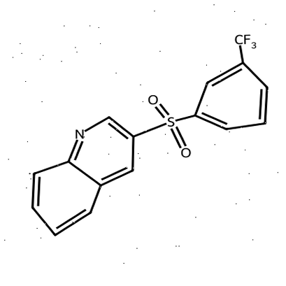 O=S(=O)(c1cccc(C(F)(F)F)c1)c1cnc2[c]cccc2c1